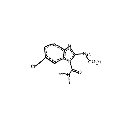 CN(C)C(=O)n1c(NC(=O)O)nc2ccc(Cl)cc21